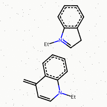 C=C1C=CN(CC)c2ccccc21.CC[N+]1=CCc2ccccc21